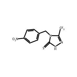 O=[N+]([O-])c1ccc(Cn2c(C(F)(F)F)n[nH]c2=S)cc1